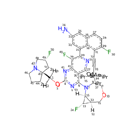 [2H]C([2H])(Oc1nc(N2CCOC[C@H]3[C@H](F)[C@H]32)c2c(OC)nc(-c3cc(N)cc4ccc(F)c(C#C[Si](C(C)C)(C(C)C)C(C)C)c34)c(F)c2n1)[C@@]12CCCN1C[C@H](F)C2